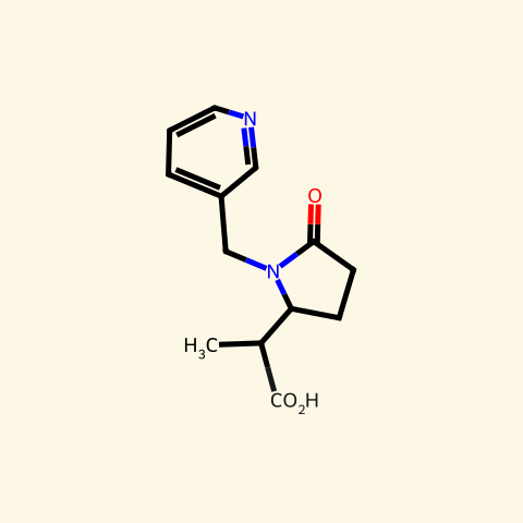 CC(C(=O)O)C1CCC(=O)N1Cc1cccnc1